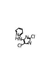 Clc1ncc(Cl)c(Nc2ccccn2)n1